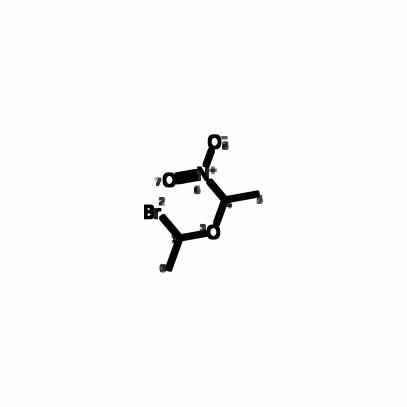 CC(Br)OC(C)[N+](=O)[O-]